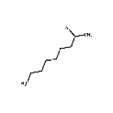 CCCCCCC[CH](C)[Zr]